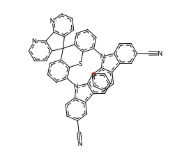 N#Cc1ccc2c(c1)c1ccccc1n2-c1cccc2c1Sc1c(-n3c4ccccc4c4cc(C#N)ccc43)cccc1C21c2cccnc2-c2ncccc21